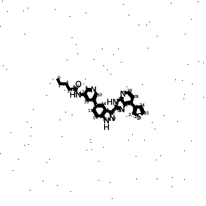 CCCCC(=O)Nc1cncc(-c2ccc3[nH]nc(-c4nc5c(-c6ccsc6)ccnc5[nH]4)c3c2)c1